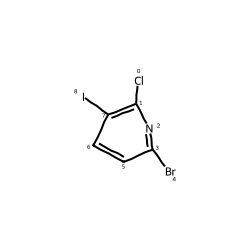 Clc1nc(Br)ccc1I